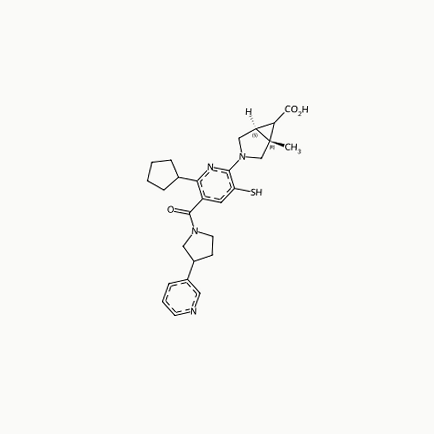 C[C@@]12CN(c3nc(C4CCCC4)c(C(=O)N4CCC(c5cccnc5)C4)cc3S)C[C@H]1C2C(=O)O